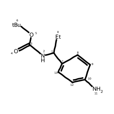 CCC(NC(=O)OC(C)(C)C)c1ccc(N)cc1